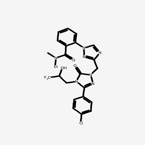 CCN(C)C(=O)c1ccccc1-n1cnc(Cn2nc(-c3ccc(Cl)cc3)n(CC(O)C(F)(F)F)c2=O)n1